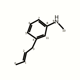 C/C=C/Cc1cccc(NC)c1